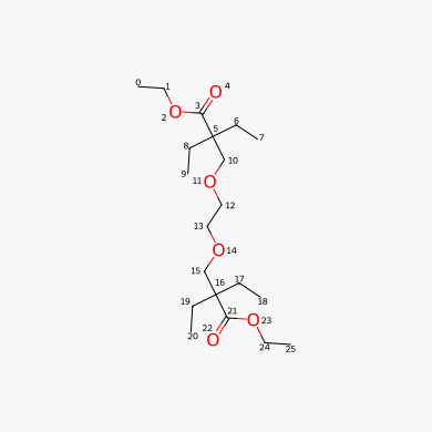 CCOC(=O)C(CC)(CC)COCCOCC(CC)(CC)C(=O)OCC